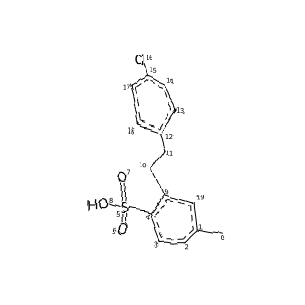 Cc1ccc(S(=O)(=O)O)c(CCc2ccc(Cl)cc2)c1